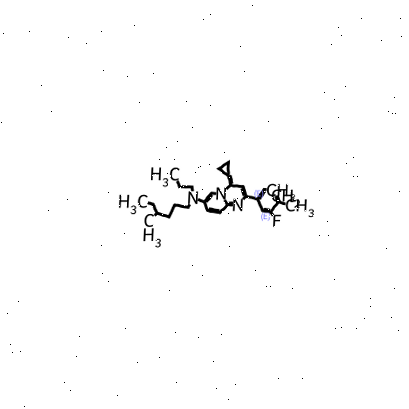 C=C(C)/C(F)=C\C(=C/C)C1=CC(=C2CC2)N2C=C(N(CCC)CCCC(C)CC)C=CC2=N1